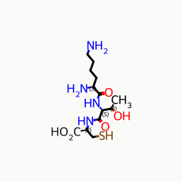 C[C@@H](O)[C@H](NC(=O)[C@@H](N)CCCCN)C(=O)N[C@@H](CS)C(=O)O